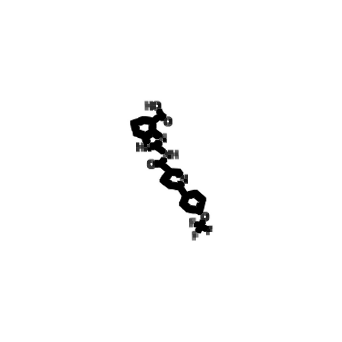 O=C(Nc1nc2c(C(=O)O)cccc2[nH]1)c1ccc(-c2ccc(OC(F)(F)F)cc2)nc1